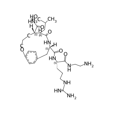 CC(C)C[C@H]1C(=O)N[C@H](C(=O)N[C@@H](CCCNC(=N)N)C(=O)NCCN)Cc2ccc(cc2)OCCC[C@@H]1C(=O)NO